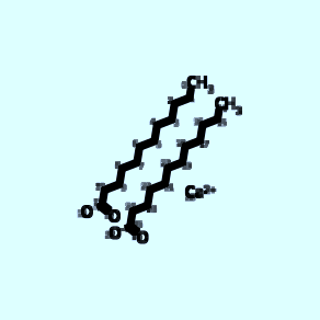 CCCCCCCCCCCC(=O)[O-].CCCCCCCCCCCC(=O)[O-].[Ca+2]